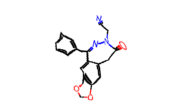 N#CCN1N=C(c2ccccc2)c2cc3c(cc2CC1=O)OCO3